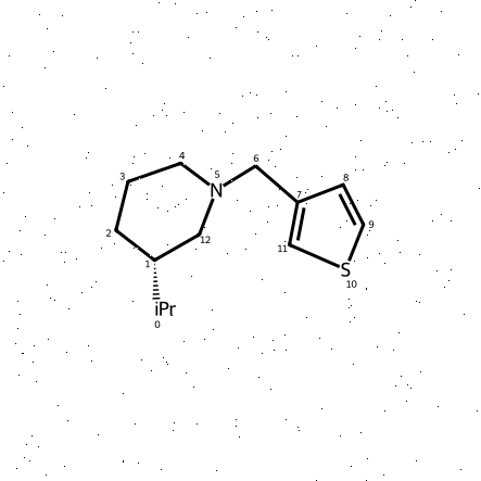 CC(C)[C@@H]1CCCN(Cc2ccsc2)C1